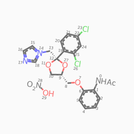 CC(=O)Nc1ccccc1OC[C@@H]1CO[C@@](Cn2ccnc2)(c2ccc(Cl)cc2Cl)O1.O=[N+]([O-])O